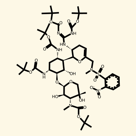 CN(C(=O)OC(C)(C)C)[C@@H]1[C@@H](O)[C@@H](O[C@@H]2[C@@H](O)[C@H](C3OC(CN(C)S(=O)(=O)c4ccccc4[N+](=O)[O-])=CC[C@H]3N/C(=N/C(=O)OC(C)(C)C)NC(=O)OC(C)(C)C)[C@@H](NC(=O)OC(C)(C)C)C[C@H]2NC(=O)OC(C)(C)C)OC[C@]1(C)O